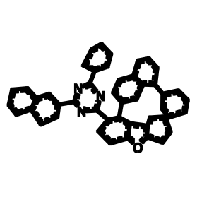 c1ccc(-c2nc(-c3ccc4ccccc4c3)nc(-c3ccc4oc5ccccc5c4c3-c3ccc4cccc(-c5ccccc5)c4c3)n2)cc1